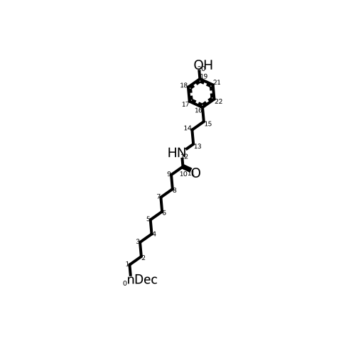 CCCCCCCCCCCCCCCCCCCC(=O)NCCCc1ccc(O)cc1